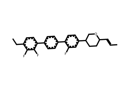 C/C=C/C1CCC(c2ccc(-c3ccc(-c4ccc(CC)c(F)c4F)cc3)c(F)c2)CO1